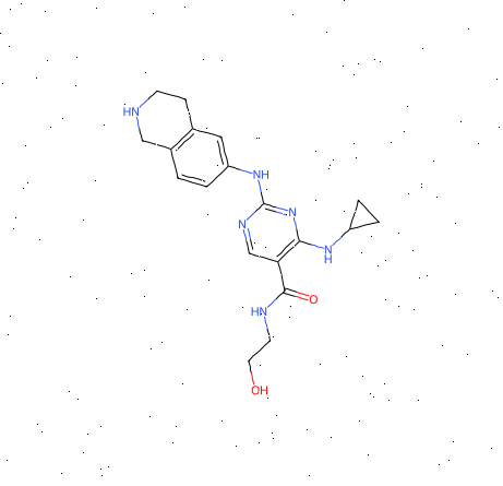 O=C(NCCO)c1cnc(Nc2ccc3c(c2)CCNC3)nc1NC1CC1